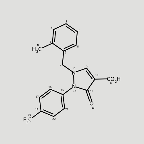 Cc1ccccc1Cn1cc(C(=O)O)c(=O)n1-c1ccc(C(F)(F)F)cc1